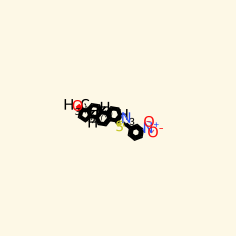 C[C@]12CCc3nc(-c4cccc([N+](=O)[O-])c4)sc3C1=CC[C@@H]1[C@@H]2CC[C@]2(C)C(=O)CC[C@@H]12